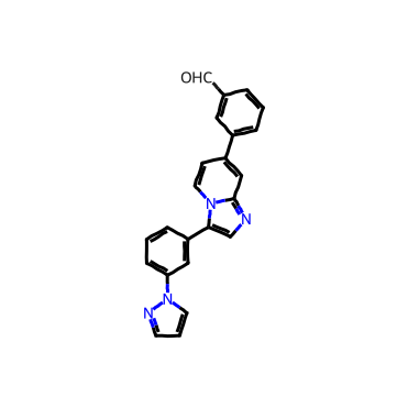 O=Cc1cccc(-c2ccn3c(-c4cccc(-n5cccn5)c4)cnc3c2)c1